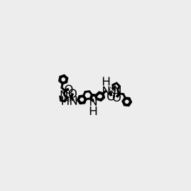 O=C(Nc1ccc2c(c1)CCc1c-2[nH]c2ccc(NC(=O)[C@@H]3CCCN3C(=O)Cc3ccccc3)cc12)[C@@H]1CCCN1C(=O)Cc1ccccc1